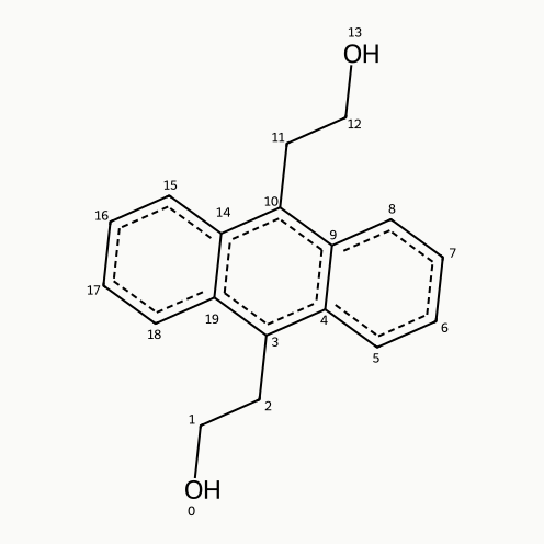 OCCc1c2ccccc2c(CCO)c2ccccc12